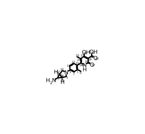 Cc1cc(N2C[C@@H]3C(N)[C@@H]3C2)ccc1-c1[nH]c(=O)c(C(=O)O)c(O)c1C